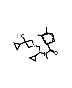 Cc1ccc(C(=O)N(C)[C@H](CN2CC(O)(C3CC3)C2)C2CC2)cc1C